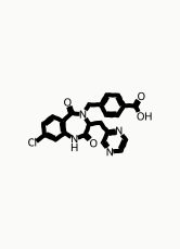 O=C(O)c1ccc(CN2C(=O)c3ccc(Cl)cc3NC(=O)C2Cc2cnccn2)cc1